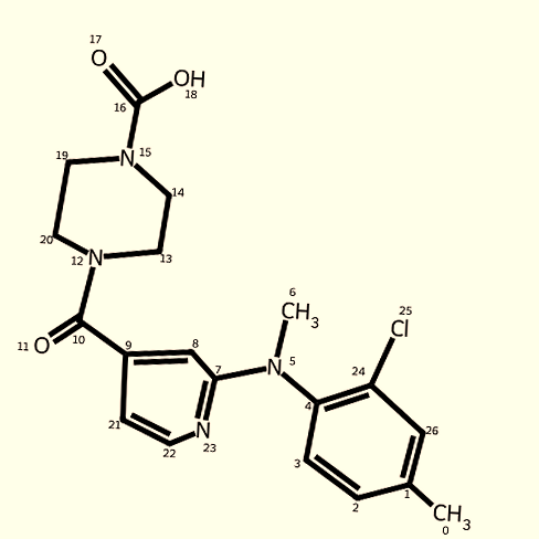 Cc1ccc(N(C)c2cc(C(=O)N3CCN(C(=O)O)CC3)ccn2)c(Cl)c1